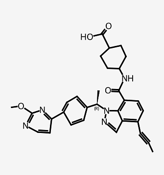 CC#Cc1ccc(C(=O)NC2CCC(C(=O)O)CC2)c2c1cnn2[C@H](C)c1ccc(-c2ccnc(OC)n2)cc1